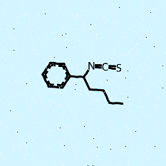 CCCCC(N=C=S)c1ccccc1